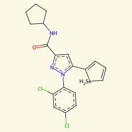 O=C(NC1CCCC1)c1cc(C2=CC=C[SeH2]2)n(-c2ccc(Cl)cc2Cl)n1